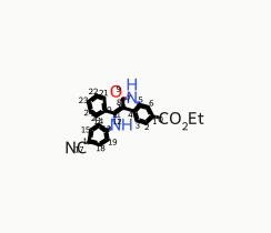 CCOC(=O)c1ccc2c(c1)NC(=O)C2=C(Nc1ccc(C#N)cc1)c1ccccc1